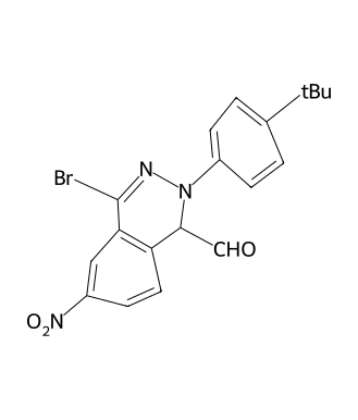 CC(C)(C)c1ccc(N2N=C(Br)c3cc([N+](=O)[O-])ccc3C2C=O)cc1